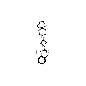 Cc1ccccc1NC(=O)N1CC(N2CCC3(CC2)OCCO3)C1